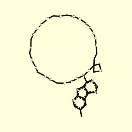 Cc1cnc2sc3c(N4CCCCCCCCCCCCCCCCCCCCCCCCCCCCC5(COC5)C4)ncnc3c2c1